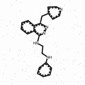 c1ccc(NCCNc2nnc(Cc3ccncc3)c3ccccc23)cc1